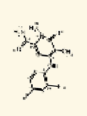 Cc1c(Nc2ccc(I)cc2F)[c]c(C(N)=O)n(C)c1=O